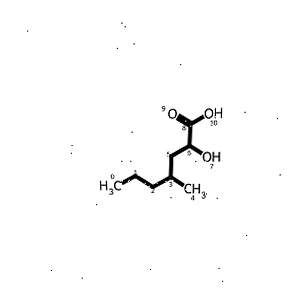 CCCC(C)CC(O)C(=O)O